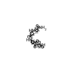 NC(=O)c1cccc(NC2CCN(C(=O)CNc3ccc4c(c3)C(=O)N(C3CCC(=O)NC3=O)C4=O)CC2)n1